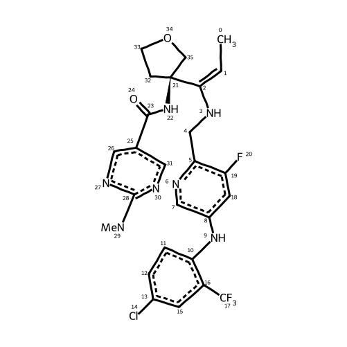 CC=C(NCc1ncc(Nc2ccc(Cl)cc2C(F)(F)F)cc1F)[C@]1(NC(=O)c2cnc(NC)nc2)CCOC1